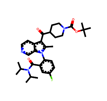 Cc1c(C(=O)C2CCN(C(=O)OC(C)(C)C)CC2)c2ccncc2n1-c1ccc(F)cc1C(=O)N(C(C)C)C(C)C